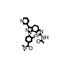 CC(=O)Nc1nc2c(s1)-c1c(c(-c3cccnc3)nn1-c1ccc(C(=O)N(C)C)cc1F)CC2